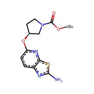 CC(C)(C)OC(=O)N1CC[C@H](Oc2ccc3nc(N)sc3n2)C1